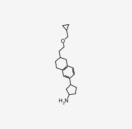 NC1CCC(c2ccc3c(c2)CCC(CCOCC2CC2)C3)C1